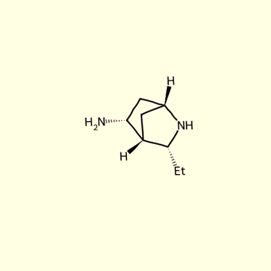 CC[C@H]1N[C@@H]2C[C@H]1[C@H](N)C2